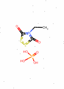 CCn1c(=O)ssc1=O.O=P(O)(O)O